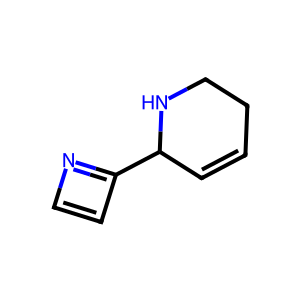 C1=CC(C2=NC=C2)NCC1